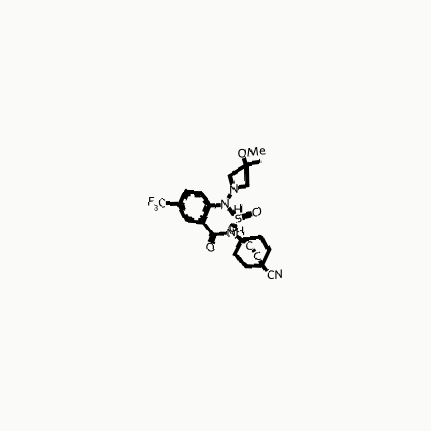 COC1(C)CN(N(c2ccc(C(F)(F)F)cc2C(=O)NC23CCC(C#N)(CC2)CC3)[SH](=O)=O)C1